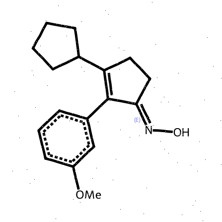 COc1cccc(C2=C(C3CCCC3)CC/C2=N\O)c1